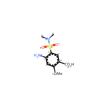 COc1cc(N)c(S(=O)(=O)N(C)C)cc1C(=O)O